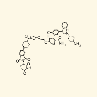 NC(=O)c1ccc(OCCOC2CN(C(=O)C3CCN(c4ccc5c(c4)C(=O)N(C4CCC(=O)NC4=O)C5=O)CC3)C2)c(F)c1-c1cc(C(CNC2CCC(N)CC2)c2ccccc2)ccc1Cl